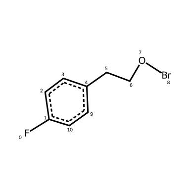 Fc1ccc(CCOBr)cc1